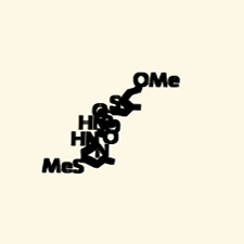 COCCc1sc(S(=O)(=O)NC(=O)Nc2cc(SC)cc(C)n2)cc1C